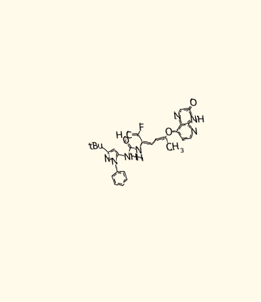 C=C(F)/C(=C\C=C(/C)Oc1ccnc2[nH]c(=O)cnc12)NC(=O)Nc1cc(C(C)(C)C)nn1-c1ccccc1